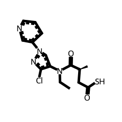 CCN(C(=O)[C@@H](C)CC(=O)S)c1cn(-c2cccnc2)nc1Cl